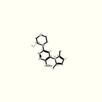 CNc1nnc(N2CCOC[C@H]2C)cc1-n1c(C)ccc1C